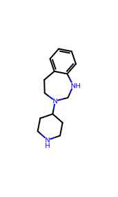 c1ccc2c(c1)CCN(C1CCNCC1)CN2